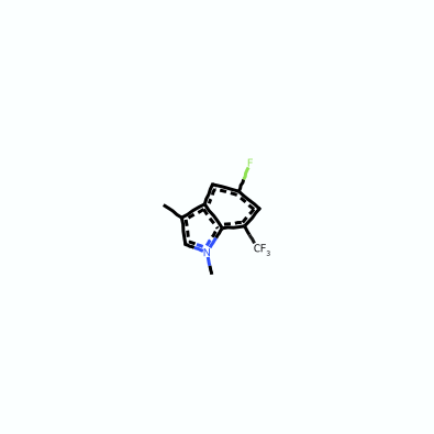 Cc1cn(C)c2c(C(F)(F)F)cc(F)cc12